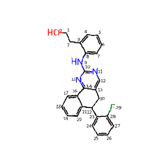 OCCc1ccccc1Nc1ncc2c(n1)-c1ccccc1C(c1ccccc1F)C2